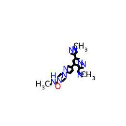 CCNC(=O)N1CCN(c2ccc(-c3cc(-c4cnn(C)c4)cn4ncc(/C=N\C)c34)cn2)CC1